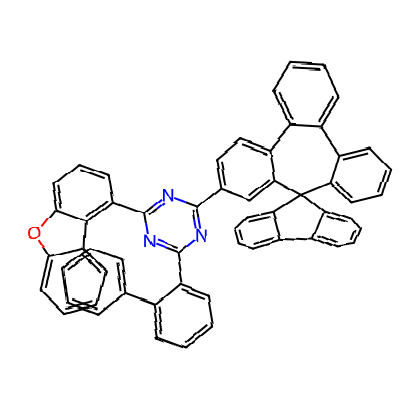 c1ccc(-c2ccccc2-c2nc(-c3ccc4c(c3)C3(c5ccccc5-c5ccccc5-4)c4ccccc4-c4ccccc43)nc(-c3cccc4oc5ccccc5c34)n2)cc1